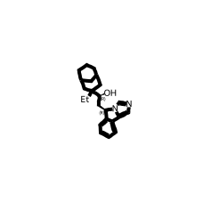 CCC1([C@H](O)C[C@@H]2c3ccccc3-c3cncn32)CC2CCCC(C2)C1